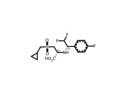 O=C(O)[C@H](CS(=O)(=O)CC1CC1)N[C@@H](c1ccc(F)cc1)C(F)F